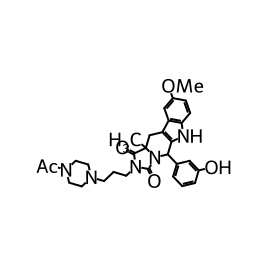 COc1ccc2[nH]c3c(c2c1)CC1(C)C(=O)N(CCCN2CCN(C(C)=O)CC2)C(=O)N1C3c1cccc(O)c1